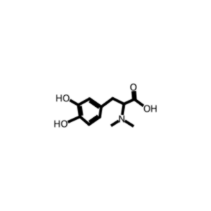 CN(C)C(Cc1ccc(O)c(O)c1)C(=O)O